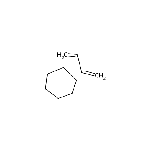 C1CCCCC1.C=CC=C